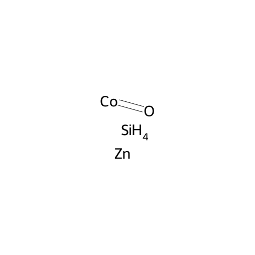 [O]=[Co].[SiH4].[Zn]